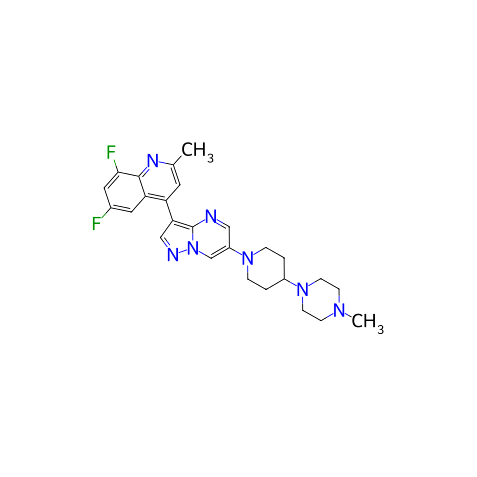 Cc1cc(-c2cnn3cc(N4CCC(N5CCN(C)CC5)CC4)cnc23)c2cc(F)cc(F)c2n1